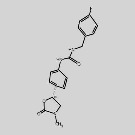 CN1C[C@@H](c2ccc(NC(=O)NCc3ccc(F)cc3)cc2)OC1=O